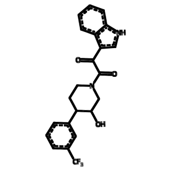 O=C(C(=O)N1CCC(c2cccc(C(F)(F)F)c2)C(O)C1)c1c[nH]c2ccccc12